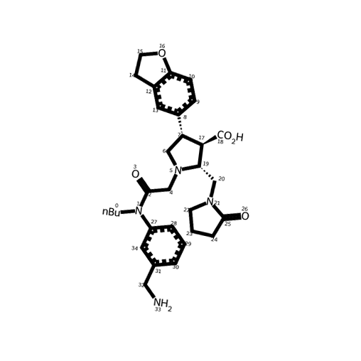 CCCCN(C(=O)CN1C[C@H](c2ccc3c(c2)CCO3)[C@@H](C(=O)O)[C@@H]1CN1CCCC1=O)c1cccc(CN)c1